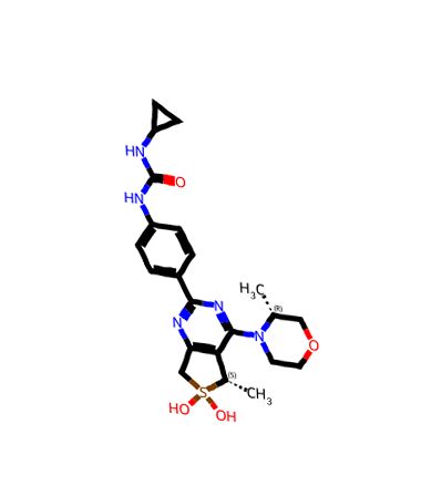 C[C@@H]1COCCN1c1nc(-c2ccc(NC(=O)NC3CC3)cc2)nc2c1[C@H](C)S(O)(O)C2